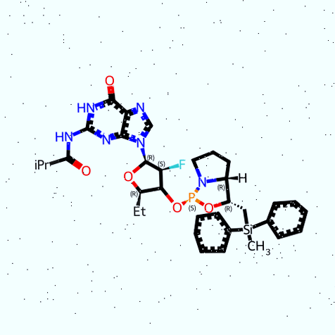 CC[C@H]1O[C@@H](n2cnc3c(=O)[nH]c(NC(=O)C(C)C)nc32)[C@@H](F)C1O[P@]1O[C@@H](C[Si](C)(c2ccccc2)c2ccccc2)[C@H]2CCCN21